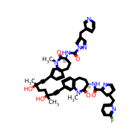 CN1C(=O)[C@@H](NC(=O)c2cc(Cc3cccc(F)n3)ccn2)CCc2ccc(C#CC(C)(O)CCC(C)(O)C#Cc3ccc4c(c3)N(C)C(=O)[C@@H](NC(=O)n3cc(Cc5cccnc5)cn3)CC4)cc21